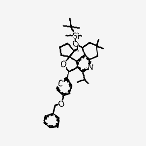 CC(C)c1nc2c(c3c1[C@@H](c1ccc(OCc4ccccc4)cc1)OC31CCCC1I)C(O[Si](C)(C)C(C)(C)C)CC(C)(C)C2